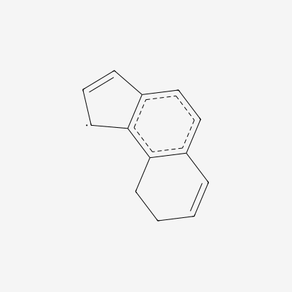 [CH]1C=Cc2ccc3c(c21)CCC=C3